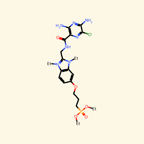 CCOP(=O)(CCCOc1ccc2c(c1)n(CC)c(CNC(=O)c1nc(Cl)c(N)nc1N)[n+]2CC)OCC